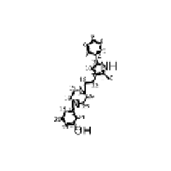 Cc1[nH]c(-c2ccccc2)cc1CCN1CCN(c2cccc(O)c2)CC1